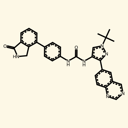 CC(C)(C)n1cc(NC(=O)Nc2ccc(-c3cccc4c3CNC4=O)cc2)c(-c2ccc3ncncc3c2)n1